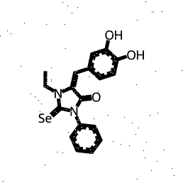 CCN1C(=[Se])N(c2ccccc2)C(=O)C1=Cc1ccc(O)c(O)c1